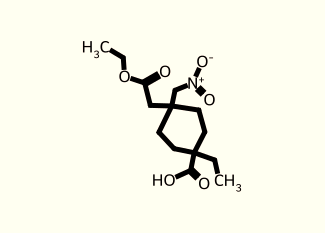 CCOC(=O)CC1(C[N+](=O)[O-])CCC(CC)(C(=O)O)CC1